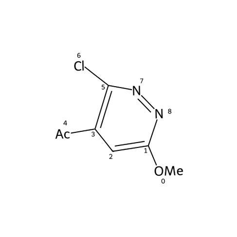 COc1cc(C(C)=O)c(Cl)nn1